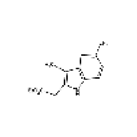 CCOC(=O)Cc1[nH]c2ccc(C)cc2c1C